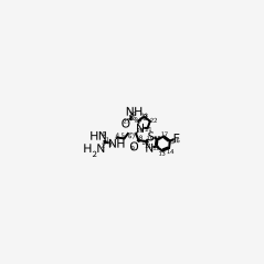 N=C(N)NCCC[C@@H](C(=O)c1nc2ccc(F)cc2s1)N1CCC[C@H]1C(N)=O